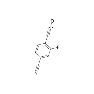 N#Cc1ccc(C#[N+][O-])c(F)c1